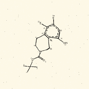 CC(C)(C)OC(=O)N1CCc2c(F)c(F)cc(O)c2C1